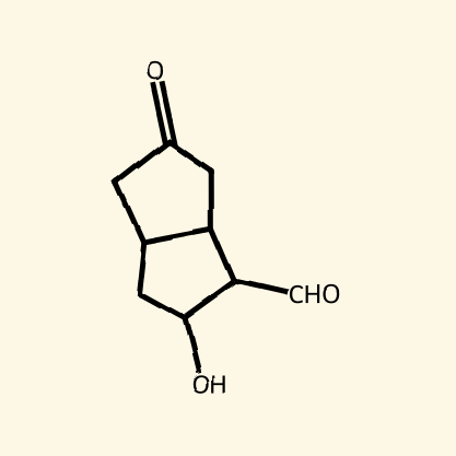 O=CC1C(O)CC2CC(=O)CC21